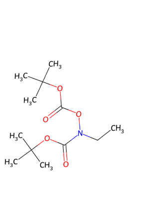 CCN(OC(=O)OC(C)(C)C)C(=O)OC(C)(C)C